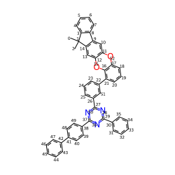 CC1(C)c2ccccc2-c2cc3c(cc21)Oc1c(cccc1-c1cccc(-c2nc(-c4ccccc4)nc(-c4ccc(-c5ccccc5)cc4)n2)c1)O3